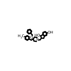 Cc1ccc(CC2(OCc3ccccc3)CCN(CC3Cc4cc(O)ccc4C3O)CC2)cc1